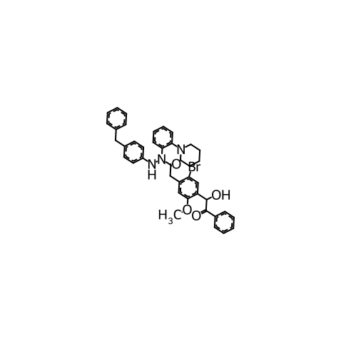 COc1cc(CC(=O)N(Nc2ccc(Cc3ccccc3)cc2)c2ccccc2N2CCCCC2)c(Br)cc1C(O)C(=O)c1ccccc1